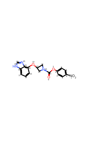 O=C(Oc1ccc([N+](=O)[O-])cc1)N1CC(Oc2cccc3[nH]cnc23)C1